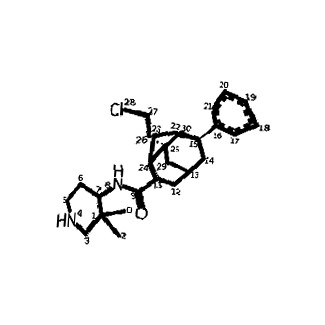 CC1(C)CNCCC1NC(=O)C1CC2C[C@]3(c4ccccc4)CCC1[C@](CCCl)(C2)C3